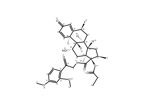 CCC(=O)O[C@]1(C(=O)SCC(=O)c2ccc(OC)cc2OC)[C@H](C)C[C@H]2[C@@H]3C[C@H](F)C4=CC(=O)C=C[C@]4(C)[C@@]3(F)[C@@H](O)C[C@@]21C